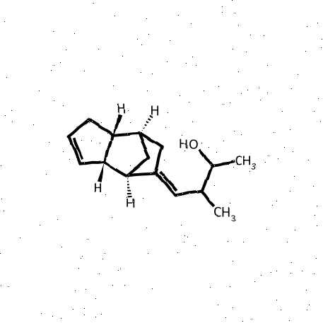 CC(O)C(C)/C=C1\C[C@H]2C[C@@H]1[C@@H]1C=CC[C@H]21